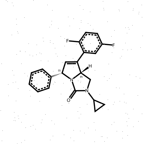 O=C1N(C2CC2)C[C@H]2C(c3cc(F)ccc3F)=C[C@@H](c3ccccc3)N12